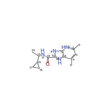 CC(=N)/C=C(/C)c1cnc(C(=O)NC(C)C2CC2)[nH]1